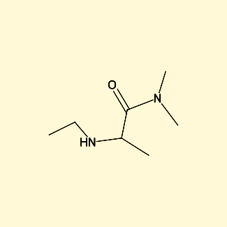 CCNC(C)C(=O)N(C)C